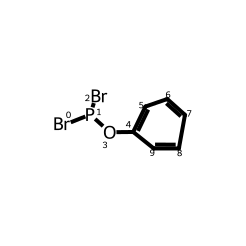 BrP(Br)Oc1ccccc1